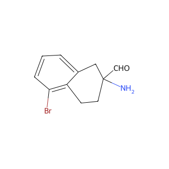 NC1(C=O)CCc2c(Br)cccc2C1